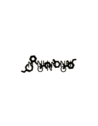 C=C1CC(NC(=O)c2cccc(CC)c2C)CCN1c1ccc(C(=O)NCc2ccccc2N2CCC=C(CC)CC2)cn1